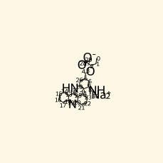 CCC(OCc1cc(N)cc(Nc2c3ccccc3nc3ccccc23)c1)C(=O)[O-].[Na+]